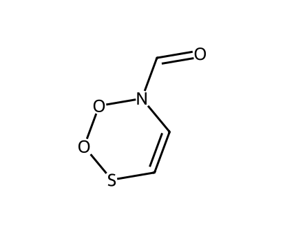 O=Cn1ccsoo1